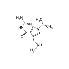 CNCc1cn(C(C)C)c2nc(N)[nH]c(=O)c12